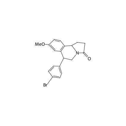 COc1ccc2c(c1)C(c1ccc(Br)cc1)CN1C(=O)CCC21